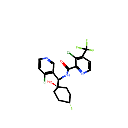 O=C(NC(c1cnccc1Cl)[C@]1(O)CC[C@H](F)CC1)c1nccc(C(F)(F)F)c1Cl